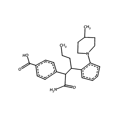 CCCC(c1ccccc1N1CCC(C)CC1)C(C(N)=O)c1ccc(C(=O)O)cc1